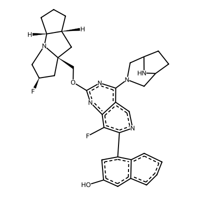 Oc1cc(-c2ncc3c(N4CC5CCC(C4)N5)nc(OC[C@@]45C[C@@H](F)CN4[C@@H]4CCC[C@@H]4C5)nc3c2F)c2ccccc2c1